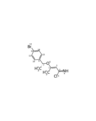 C/C(=C\C(=N)Cl)O[C@H](C)c1ccc(Br)cc1